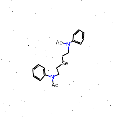 CC(=O)N(CC[Se]CCN(C(C)=O)c1ccccc1)c1ccccc1